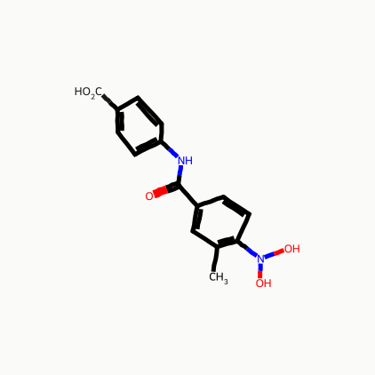 Cc1cc(C(=O)Nc2ccc(C(=O)O)cc2)ccc1N(O)O